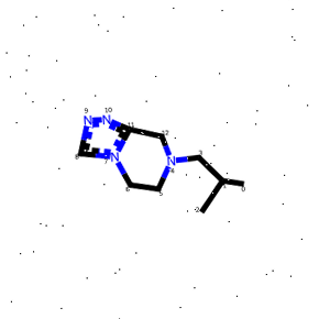 CC(C)CN1CCn2cnnc2C1